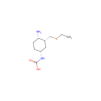 CCSC[C@@H]1C[C@H](NC(=O)O)CC[C@@H]1N